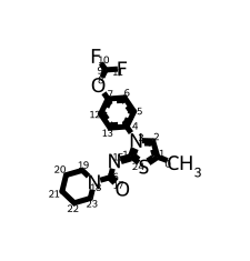 Cc1cn(-c2ccc(OC(F)F)cc2)c(=NC(=O)N2CCCCC2)s1